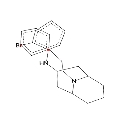 Brc1ccccc1NC1CC2CCCC(C1)N2CCc1ccccc1